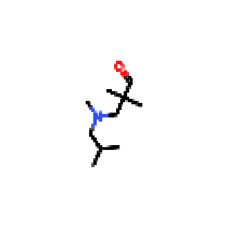 CC(C)CN(C)CC(C)(C)C=O